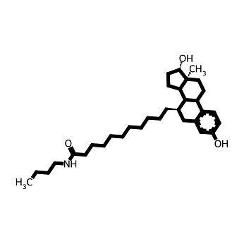 CCCCNC(=O)CCCCCCCCCC[C@@H]1Cc2cc(O)ccc2C2CC[C@@]3(C)C(CC[C@@H]3O)C21